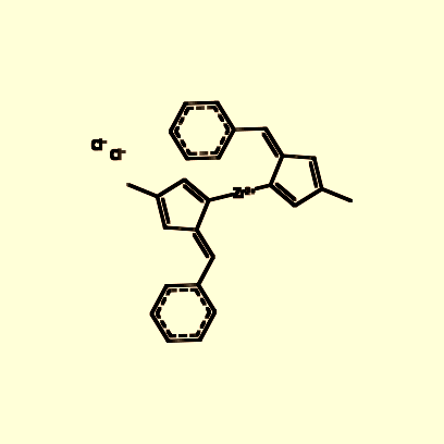 CC1=CC(=Cc2ccccc2)[C]([Zr+2][C]2=CC(C)=CC2=Cc2ccccc2)=C1.[Cl-].[Cl-]